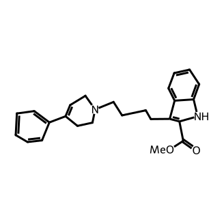 COC(=O)c1[nH]c2ccccc2c1CCCCN1CC=C(c2ccccc2)CC1